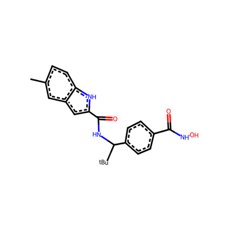 Cc1ccc2[nH]c(C(=O)NC(c3ccc(C(=O)NO)cc3)C(C)(C)C)cc2c1